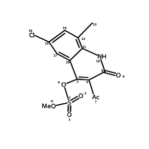 COS(=O)(=O)Oc1c(C(C)=O)c(=O)[nH]c2c(C)cc(Cl)cc12